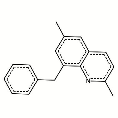 Cc1cc(Cc2ccccc2)c2nc(C)ccc2c1